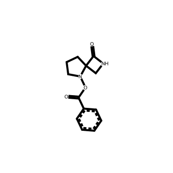 O=C(ON1CCCC12CNC2=O)c1ccccc1